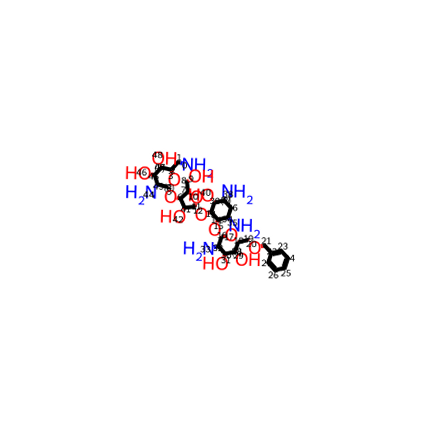 NCC1O[C@H](OC2C(CO)OC(OC3C(OC4OC(COCc5ccccc5)[C@@H](O)C(O)C4N)C(N)C[C@@H](N)C3O)C2O)C(N)C(O)[C@@H]1O